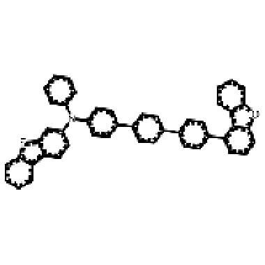 c1ccc(N(c2ccc(-c3ccc(-c4ccc(-c5cccc6oc7ccccc7c56)cc4)cc3)cc2)c2ccc3c(c2)sc2ccccc23)cc1